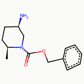 C[C@H]1CC[C@@H](N)CN1C(=O)OCc1ccccc1